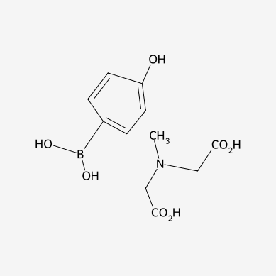 CN(CC(=O)O)CC(=O)O.OB(O)c1ccc(O)cc1